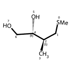 CSC[C@@H](C)[C@@H](O)CO